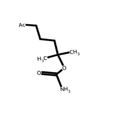 CC(=O)CCCC(C)(C)OC(N)=O